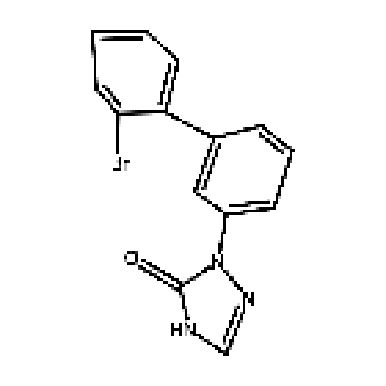 O=c1[nH]cnn1-c1cccc(-c2ccccc2Br)c1